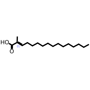 CCCCCCCCCCCCC/C=C(\C)C(=O)O